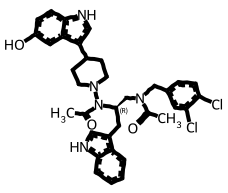 CC(=O)N(Cc1ccc(Cl)c(Cl)c1)C[C@@H](Cc1c[nH]c2ccccc12)N(C(C)=O)N1CCC(c2c[nH]c3ccc(O)cc23)CC1